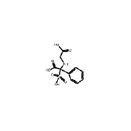 O=C(O)CNC(C(=O)O)(c1ccccc1)S(=O)(=O)O